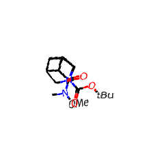 CON(C)C(=O)C1C2CC1CN(C(=O)OC(C)(C)C)C2